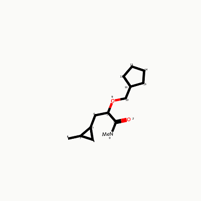 CNC(=O)C(CC1CC1C)OCC1CCCC1